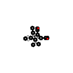 c1ccc(-c2ccc(N3B4c5c(cc(N(c6ccccc6)c6ccccc6)cc5-n5c6ccc(C78CC9CC(CC(C9)C7)C8)cc6c6cc(C78CC9CC(CC(C9)C7)C8)cc4c65)-c4cc5c(cc43)Oc3ccccc3O5)cc2)cc1